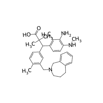 CNc1ccc(C(c2ccc(C)c(CN3CCCc4ccccc4C3)c2)C(C)(C)C(=O)O)c(C)c1N